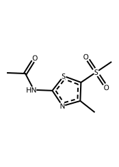 CC(=O)Nc1nc(C)c(S(C)(=O)=O)s1